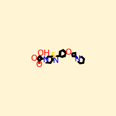 O=c1c(O)c(N2CCc3nc(-c4ccc(OC5CC(N6CCCCC6)C5)cc4)sc3C2)c1=O